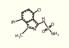 CC(C)c1ccc(Cl)c2c(NS(N)(=O)=O)nn(C)c12